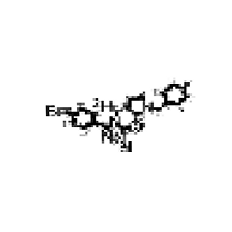 [2H]C([C@@H]1CCN(Cc2ccccc2)C1)n1c(-c2ccc(Br)cc2)nn([2H])c1=O